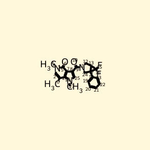 Cc1cn(C)c(=O)c2c(C(=O)N3CC4C(F)(F)C4(c4ccccc4)C3)cn(C)c12